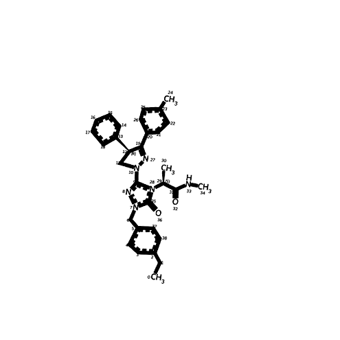 CCc1ccc(Cn2nc(N3C[C@@H](c4ccccc4)C(c4ccc(C)cc4)=N3)n([C@@H](C)C(=O)NC)c2=O)cc1